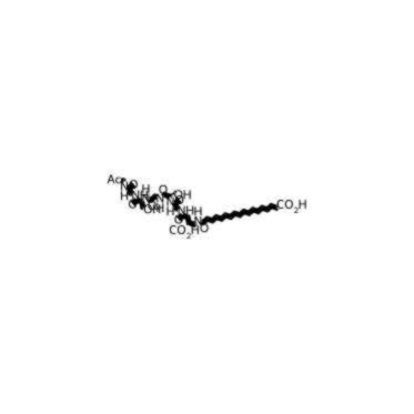 CC(=O)CNC(=O)CNC(=O)C(CO)NC(=O)CNC(=O)[C@H](CO)NC(=O)CNC(=O)CC[C@H](NC(=O)CCCCCCCCCCCCCCCCC(=O)O)C(=O)O